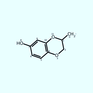 [CH2]C1COc2ccc(O)cc2O1